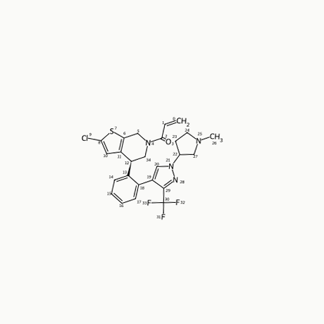 C=CC(=O)N1Cc2sc(Cl)cc2[C@H](c2ccccc2-c2cn(C3CCN(C)C3)nc2C(F)(F)F)C1